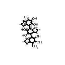 Cc1c(O)c(O)c(-c2c(O)c(O)c(-c3c(O)c(O)c(C)c4c3CC=N4)c3c2CC=N3)c2c1CC=N2